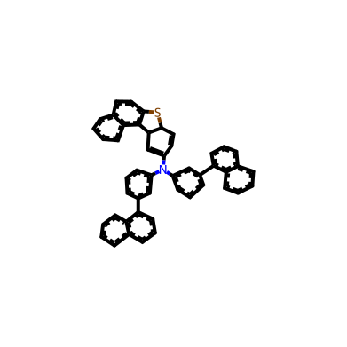 C1=CC2Sc3ccc4ccccc4c3C2C=C1N(c1cccc(-c2cccc3ccccc23)c1)c1cccc(-c2cccc3ccccc23)c1